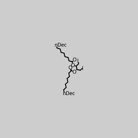 CCCCCCCCCCCCCCCCCC(=O)OC(CI)C(CI)OC(=O)CCCCCCCCCCCCCCCCC